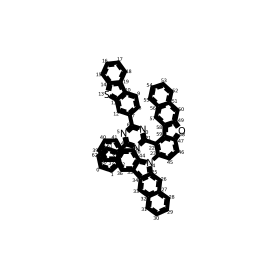 c1ccc(-c2nc(-c3ccc4c(c3)sc3ccccc34)nc(-c3c(-n4c5cc6ccccc6cc5c5cc6ccccc6cc54)ccc4oc5cc6ccccc6cc5c34)n2)cc1